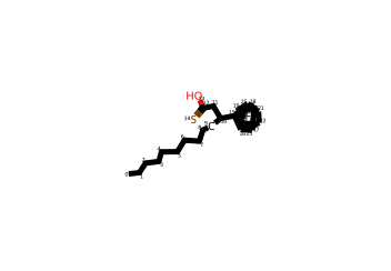 CCCCCCCCCCC(CC(O)=S)[C]12[CH]3[CH]4[CH]5[CH]1[Fe]45321678[CH]2[CH]1[CH]6[CH]7[CH]28